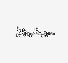 CCn1cc(S(=O)(=O)N2CCC3(CC2)C[C@@H](NCC(O)COc2cccc(S(=O)(=O)NC)c2)CO3)c(=O)c2cc(F)ccc21